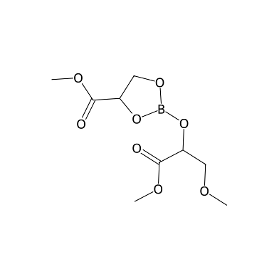 COCC(OB1OCC(C(=O)OC)O1)C(=O)OC